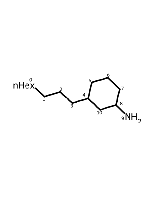 [CH2]CCCCCCCCC1CCCC(N)C1